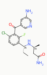 CC[C@@H](N[C@@H](C)CC(N)=O)c1ccc(Cl)c(C(=O)c2cncc(N)c2)c1F